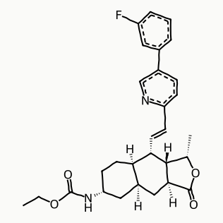 CCOC(=O)N[C@@H]1CC[C@@H]2[C@H](C1)C[C@@H]1C(=O)O[C@@H](C)[C@H]1[C@H]2/C=C/c1ccc(-c2cccc(F)c2)cn1